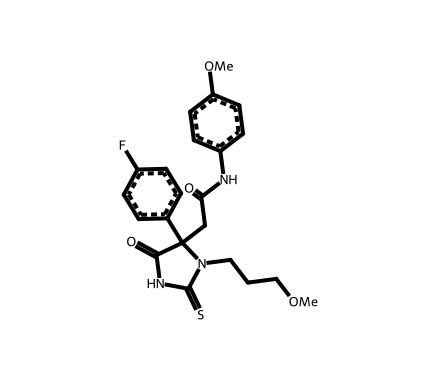 COCCCN1C(=S)NC(=O)C1(CC(=O)Nc1ccc(OC)cc1)c1ccc(F)cc1